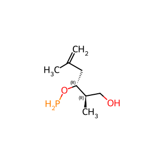 C=C(C)C[C@@H](OP)[C@H](C)CO